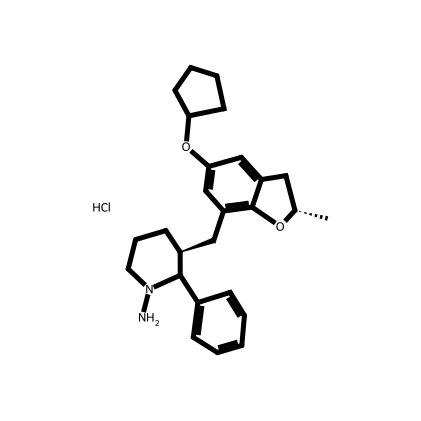 C[C@H]1Cc2cc(OC3CCCC3)cc(C[C@@H]3CCCN(N)C3c3ccccc3)c2O1.Cl